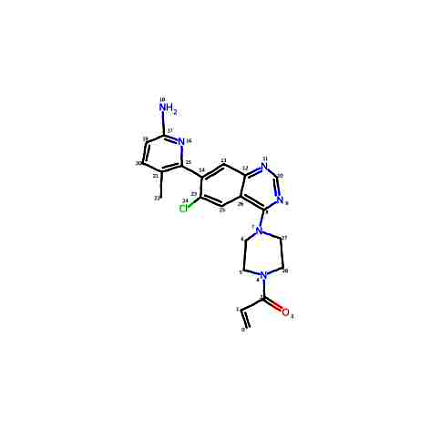 C=CC(=O)N1CCN(c2ncnc3cc(-c4nc(N)ccc4C)c(Cl)cc23)CC1